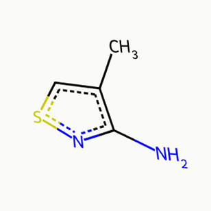 Cc1csnc1N